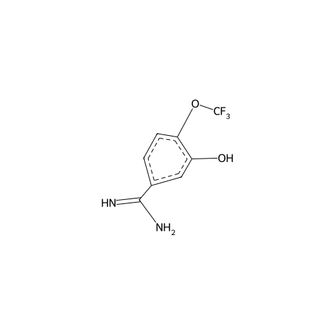 N=C(N)c1ccc(OC(F)(F)F)c(O)c1